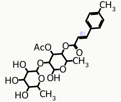 CC(=O)OC1C(OC(=O)/C=C/c2ccc(C)cc2)C(C)OC(O)C1OC1OC(C)C(O)C(O)C1O